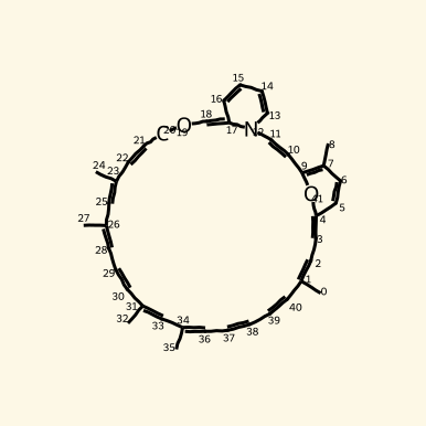 CC1=CC=C2C=CC(C)=C(C=CN3C=CC=CC3=COCC=CC(C)=CC(C)=CC=CC(C)=CC(C)=CC=CC=C1)O2